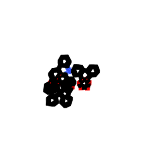 c1ccc(-c2ccccc2-c2ccc(N(c3ccccc3-c3ccc4c5ccccc5n(-c5cccc6c5C(c5ccccc5)(c5ccccc5)c5ccccc5-6)c4c3)c3cccc4ccccc34)cc2-c2ccccc2)cc1